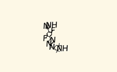 CN(c1cnc(-c2cc(F)c(-c3cn[nH]c3)cc2F)cn1)C1CC(C)(C)NC(C)(C)C1